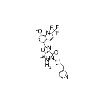 COc1ccc(-c2nc(C(=O)NC3CC(Cc4cccnc4)C3)c([C@H](C)N)o2)c2ccc(C(F)(F)F)nc12